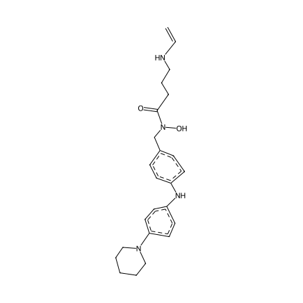 C=CNCCCC(=O)N(O)Cc1ccc(Nc2ccc(N3CCCCC3)cc2)cc1